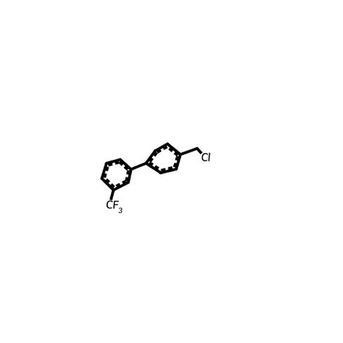 FC(F)(F)c1cccc(-c2ccc(CCl)cc2)c1